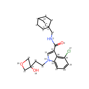 O=C(NCC12CCC(CC1)CC2)c1cn(CCC2(O)COC2)c2cccc(Cl)c12